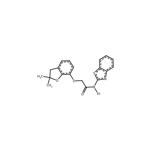 CCN(C(=O)COc1cccc2c1OC(C)(C)C2)c1nc2ccccc2s1